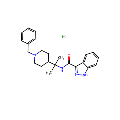 CC(C)(NC(=O)c1n[nH]c2ccccc12)C1CCN(Cc2ccccc2)CC1.Cl